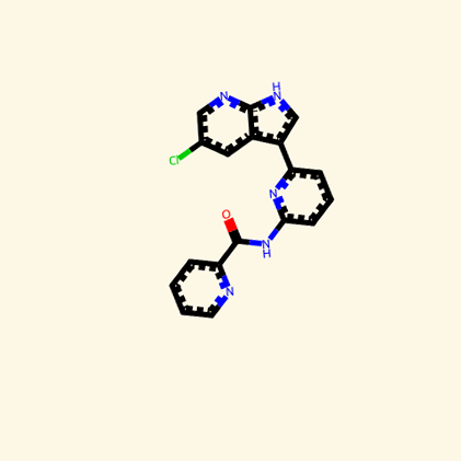 O=C(Nc1cccc(-c2c[nH]c3ncc(Cl)cc23)n1)c1ccccn1